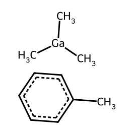 Cc1ccccc1.[CH3][Ga]([CH3])[CH3]